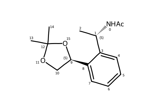 CC(=O)N[C@@H](C)c1ccccc1[C@H]1COC(C)(C)O1